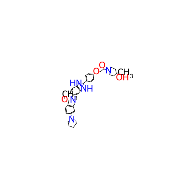 COC1c2ccc(N3CCCCC3)cc2CN1c1ccc2c(c1)NC(c1ccc(OCC(=O)N3CCC(C)(O)CC3)cc1)N2